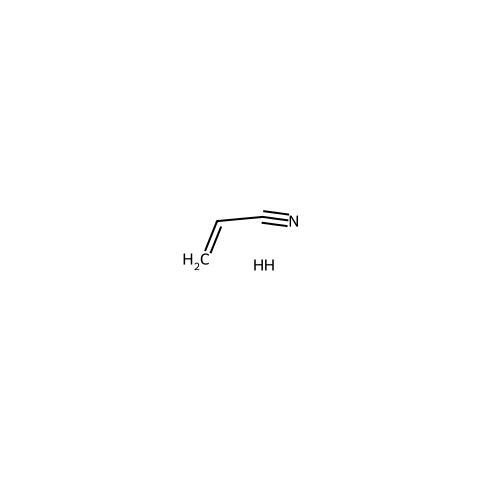 C=CC#N.[HH]